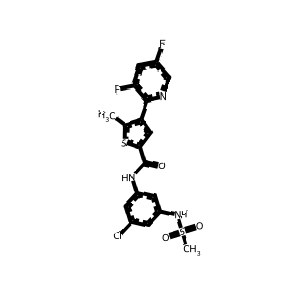 Cc1sc(C(=O)Nc2cc(Cl)cc(NS(C)(=O)=O)c2)cc1-c1ncc(F)cc1F